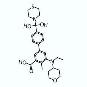 CCN(c1cc(-c2ccc(C(O)(O)N3CCSCC3)cc2)cc(C(=O)O)c1C)C1CCOCC1